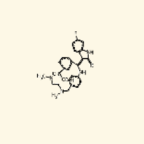 CN(C)CCN(C)Cc1ccc(N/C(=C2\C(=O)Nc3cc(F)ccc32)c2cccc(CC(=O)O)c2)cc1